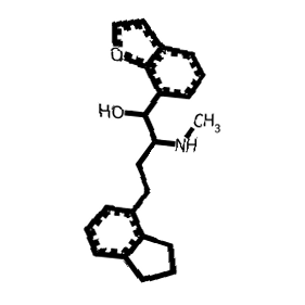 CNC(CCc1cccc2c1CCC2)C(O)c1cccc2ccoc12